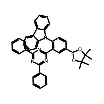 CC1(C)OB(c2ccc(-n3c4ccccc4c4ccccc43)c(-c3nc(-c4ccccc4)nc(-c4ccccc4)n3)c2)OC1(C)C